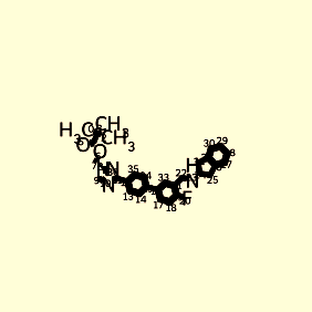 CC(C)(C)C(=O)OCn1cnc(-c2ccc(-c3ccc(F)c(CNC4Cc5ccccc5C4)c3)cc2)n1